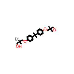 CCC(C)(CO)COc1ccc(C(C)(C)c2ccc(OCC3(C)COC3)cc2)cc1